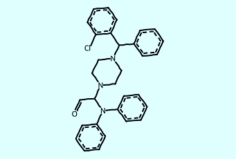 O=CC(N1CCN(C(c2ccccc2)c2ccccc2Cl)CC1)N(c1ccccc1)c1ccccc1